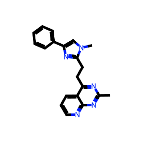 Cc1nc(CCc2nc(-c3ccccc3)cn2C)c2cccnc2n1